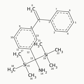 C=C(c1ccccc1)c1cccc(C(N)([Si](C)(C)C)[Si](C)(C)C)c1